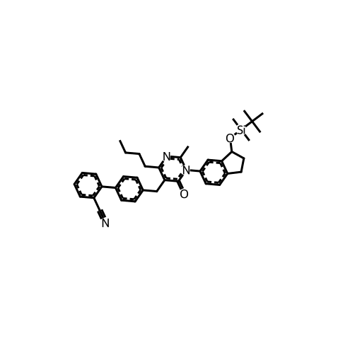 CCCCc1nc(C)n(-c2ccc3c(c2)C(O[Si](C)(C)C(C)(C)C)CC3)c(=O)c1Cc1ccc(-c2ccccc2C#N)cc1